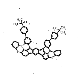 CC(C)(C)c1ccc(-c2ccc3c(c2)B2c4ccccc4Sc4ccc5c6cc7c8ccc9c%10c8n(c7cc6n-3c5c42)-c2ccc(-c3ccc(C(C)(C)C)cc3)cc2B%10c2ccccc2S9)cc1